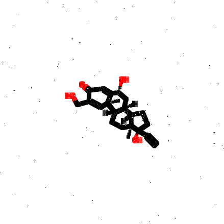 C#C[C@]1(O)CC[C@H]2[C@@H]3C[C@@H](O)C4=CC(=O)C(CO)=C[C@]4(C)[C@H]3CC[C@@]21C